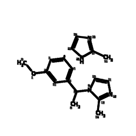 COc1cccc(C(C)n2ccnc2C)c1.Cc1ncc[nH]1